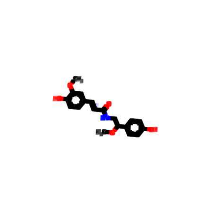 COc1cc(/C=C/C(=O)NCC(OC)c2ccc(O)cc2)ccc1O